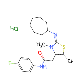 CC1SC(=NC2CCCCCC2)N(C)C1CC(=O)Nc1ccc(F)cc1.Cl